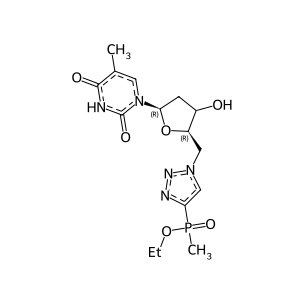 CCOP(C)(=O)c1cn(C[C@H]2O[C@@H](n3cc(C)c(=O)[nH]c3=O)CC2O)nn1